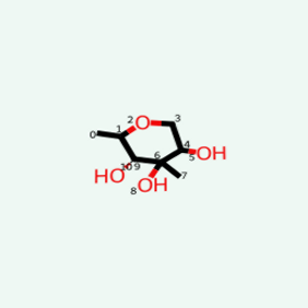 CC1OCC(O)C(C)(O)[C@@H]1O